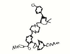 COC(=O)c1ccc(N2CCN(CC3=C(c4ccc(Cl)cc4)CC(C)(C)CC3)CC2)cc1Oc1ccc(OC)cc1